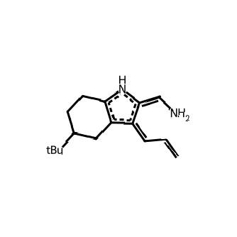 C=C/C=c1/c2c([nH]/c1=C/N)CCC(C(C)(C)C)C2